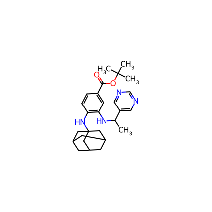 CC(Nc1cc(C(=O)OC(C)(C)C)ccc1NC12CC3CC(CC(C3)C1)C2)c1cncnc1